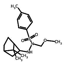 COCN(NC1CC2CCC1C2(C)C)S(=O)(=O)c1ccc(C)cc1